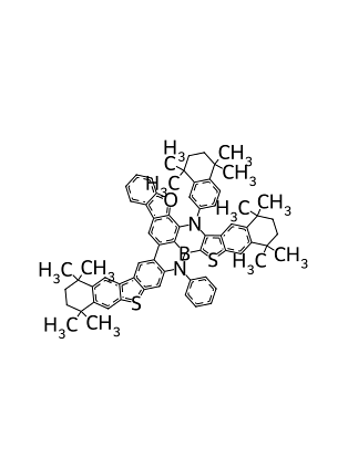 CC1(C)CCC(C)(C)c2cc(N3c4c(sc5cc6c(cc45)C(C)(C)CCC6(C)C)B4c5c(cc6c(oc7ccccc76)c53)-c3cc5c(cc3N4c3ccccc3)sc3cc4c(cc35)C(C)(C)CCC4(C)C)ccc21